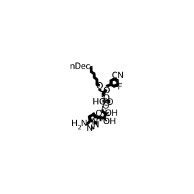 CCCCCCCCCCCCCCCCOC[C@H](COP(=O)(O)OC[C@H]1O[C@@](C)(c2ccc3c(N)ncnn23)[C@H](O)[C@@H]1O)OCc1cc(F)cc(C#N)c1